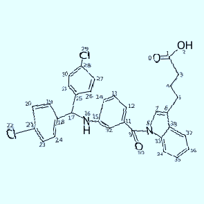 O=C(O)CCCc1cn(C(=O)c2cccc(NC(c3ccc(Cl)cc3)c3ccc(Cl)cc3)c2)c2ccccc12